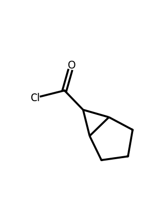 O=C(Cl)C1C2CCCC21